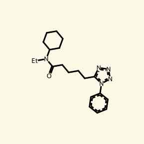 CCN(C(=O)CCCCc1nnnn1-c1ccccc1)C1CCCCC1